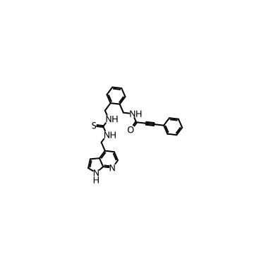 O=C(C#Cc1ccccc1)NCc1ccccc1CNC(=S)NCc1ccnc2[nH]ccc12